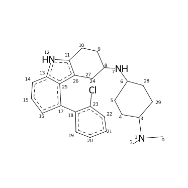 CN(C)C1CCC(NC2CCc3[nH]c4cccc(-c5ccccc5Cl)c4c3C2)CC1